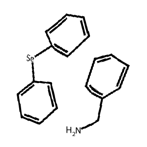 NCc1ccccc1.c1ccc([Se]c2ccccc2)cc1